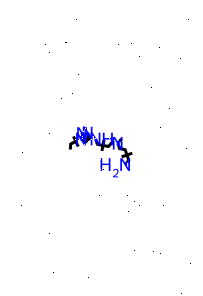 CCC(C)(C)n1cc(NCC(C)(C)CCN(C)CCC(C)(C)CN)nn1